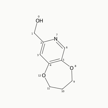 OCc1cc2c(cn1)OCCCO2